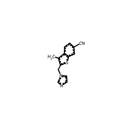 Cc1c(Cn2ccnc2)sc2cc(C#N)ccc12